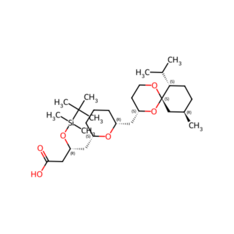 CC(C)[C@@H]1CC[C@@H](C)C[C@@]12OCC[C@@H](C[C@H]1CCC[C@@H](C[C@H](CC(=O)O)O[Si](C)(C)C(C)(C)C)O1)O2